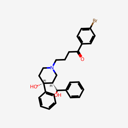 O=C(CCCN1CC[C@](O)(c2ccccc2)[C@@H](C(O)c2ccccc2)C1)c1ccc(Br)cc1